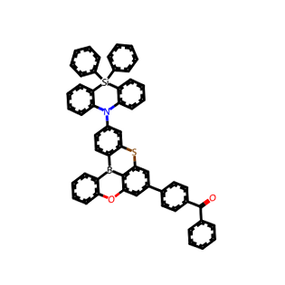 O=C(c1ccccc1)c1ccc(-c2cc3c4c(c2)Sc2cc(N5c6ccccc6[Si](c6ccccc6)(c6ccccc6)c6ccccc65)ccc2B4c2ccccc2O3)cc1